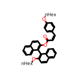 CCCCCCOc1ccc(/C=C\C(=O)Oc2ccc3ccccc3c2-c2c(OCCCCCC)ccc3ccccc23)cc1